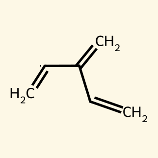 C=[C]C(=C)C=C